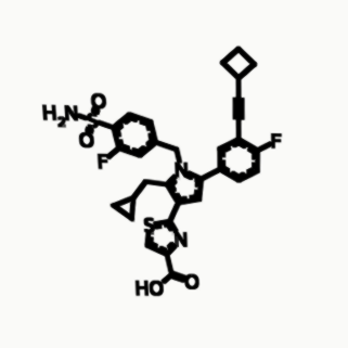 NS(=O)(=O)c1ccc(Cn2c(-c3ccc(F)c(C#CC4CCC4)c3)cc(-c3nc(C(=O)O)cs3)c2CC2CC2)cc1F